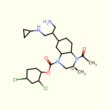 CC(=O)N1C2CCC(C(CN)CNC3CC3)CC2N(C(=O)OC2CCC(Cl)CC2Cl)C[C@@H]1C